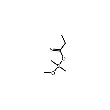 CCC(=S)O[Si](C)(C)OC